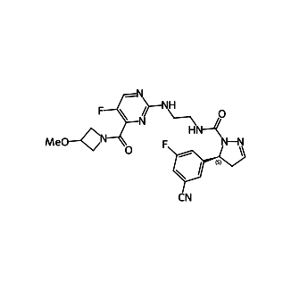 COC1CN(C(=O)c2nc(NCCNC(=O)N3N=CC[C@H]3c3cc(F)cc(C#N)c3)ncc2F)C1